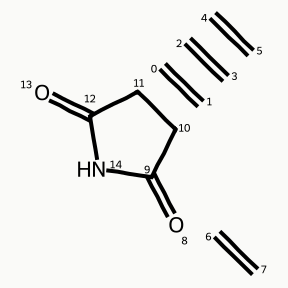 C=C.C=C.C=C.C=C.O=C1CCC(=O)N1